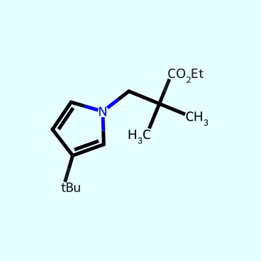 CCOC(=O)C(C)(C)Cn1ccc(C(C)(C)C)c1